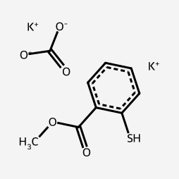 COC(=O)c1ccccc1S.O=C([O-])[O-].[K+].[K+]